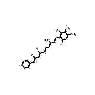 CC(/C=C/c1c(C)cc(C)c(C)c1C)=C\C=C\C(C)=C\C(=O)Nc1ccncc1